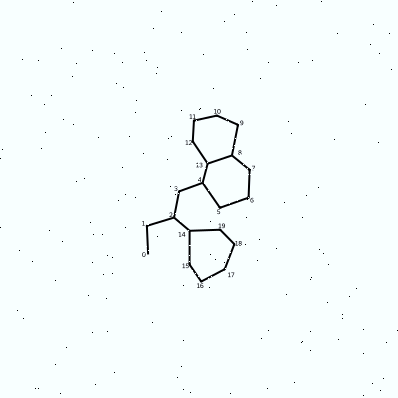 CCC(CC1CCCC2CCCCC21)C1CCCCC1